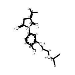 CC(C)=C1CC(=O)N(c2ccc(Cl)c(OCCOC(C)C)c2)C1=O